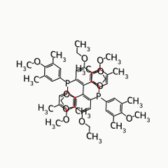 CCOc1cc(P(c2cc(C)c(OC)c(C)c2)c2cc(C)c(OC)c(C)c2)c(-c2c(P(c3cc(C)c(OC)c(C)c3)c3cc(C)c(OC)c(C)c3)cc(OCC)c3c2OCO3)c2c1OCO2